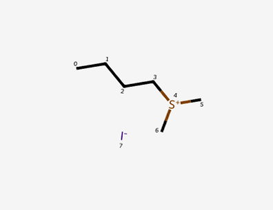 CCCC[S+](C)C.[I-]